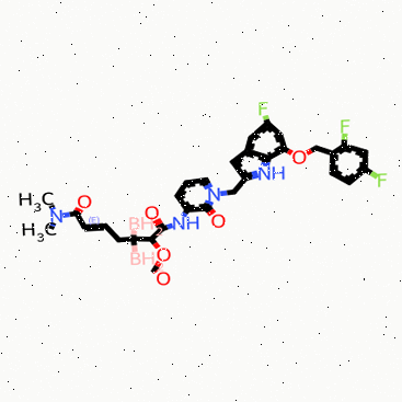 BC(B)(C/C=C/C(=O)N(C)C)C(OC=O)C(=O)Nc1cccn(Cc2cc3cc(F)cc(OCc4ccc(F)cc4F)c3[nH]2)c1=O